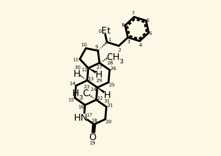 CCC(Cc1ccccc1)[C@H]1CC[C@H]2[C@@H]3CCC4NC(=O)CC[C@]4(C)[C@H]3CC[C@]12C